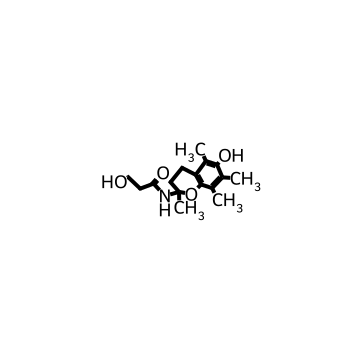 Cc1c(C)c2c(c(C)c1O)CCC(C)(NC(=O)CCO)O2